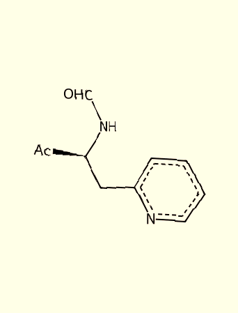 CC(=O)[C@H](Cc1ccccn1)NC=O